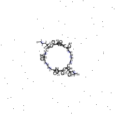 C/C=C/CC(C)(C)[C@@H]1C/C=C\[C@H]2OC2/C=C/C=C\c2nc(co2)C(=O)C[C@H](C(C)(C)[C@@H](O)/C=C/C)C\C=C/C=C\C=C\[C@H](OC)Cc2nc(co2)C(=O)O1